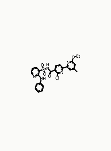 CCOc1cc(C)cc(-c2ccc(C(=O)NS(=O)(=O)c3cccnc3Nc3ccccc3)c(Cl)n2)n1